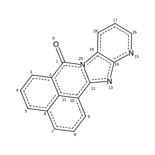 O=c1c2cccc3cccc(c32)c2nc3ncccc3n12